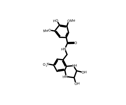 COc1cc(C(=O)NCc2cc([N+](=O)[O-])cc3c2NC(O)C(O)N3)cc(OC)c1O